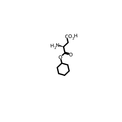 N[C@@H](CC(=O)O)C(=O)OC1CCCCC1